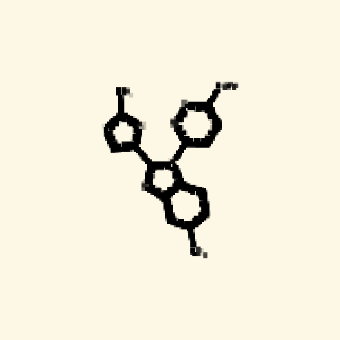 COc1ccc(-n2c(-c3csc(C)n3)nc3cc(C(F)(F)F)ccc32)nn1